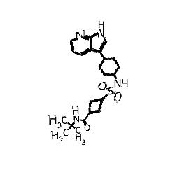 CC(C)(C)NC(=O)C1CC(S(=O)(=O)NC2CCC(c3c[nH]c4ncccc34)CC2)C1